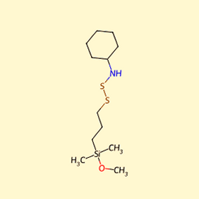 CO[Si](C)(C)CCCSSNC1CCCCC1